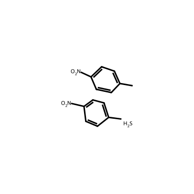 Cc1ccc([N+](=O)[O-])cc1.Cc1ccc([N+](=O)[O-])cc1.S